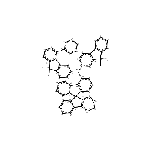 CC1(C)c2ccccc2-c2ccc(N(c3ccc4c(c3)-c3c(-c5ccccc5)cccc3C4(C)C)c3cccc4c3-c3ccccc3C43c4ccccc4-c4ccccc43)cc21